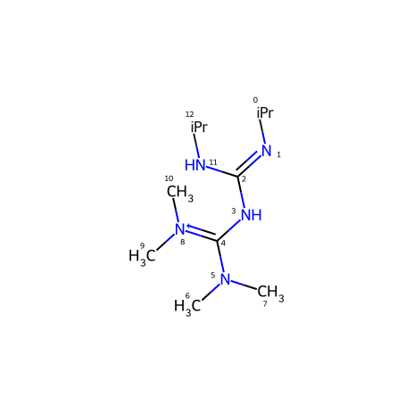 CC(C)N=C(NC(N(C)C)=[N+](C)C)NC(C)C